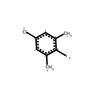 Cc1cc(Cl)cc(C)c1I